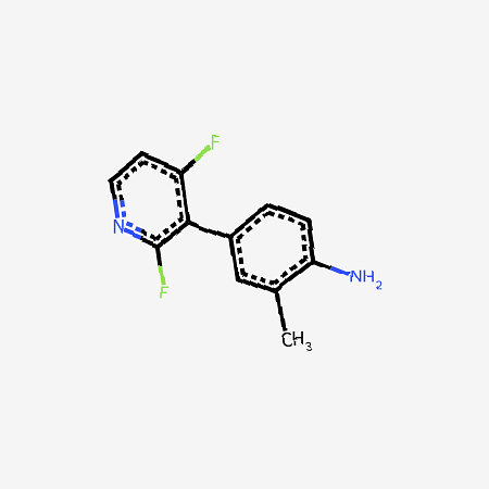 Cc1cc(-c2c(F)ccnc2F)ccc1N